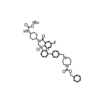 CC(C)(C)OC(=O)NC1CCC(N2C[N+]([O-])(c3cccc(-c4ccc(CN5CCCN(C(=O)OCc6ccccc6)CC5)cc4)c3)c3ncc(F)cc3C2=O)CC1